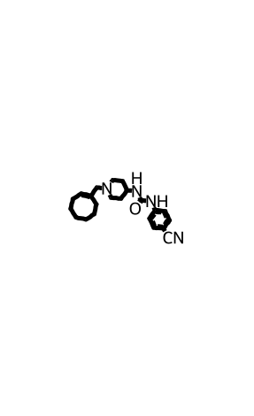 N#Cc1ccc(NC(=O)NC2CCN(CC3=CCCCCCC3)CC2)cc1